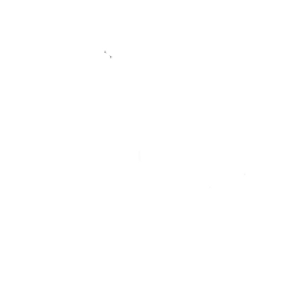 C1=C[CH]([Ti][C]2=CC=C3N=c4ccccc4=C32)c2c1oc1ccccc21